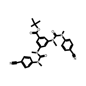 CN(C(=O)N(C)c1cc(C(=O)OC(C)(C)C)cc(N(C)C(=O)N(C)c2ccc(C#N)cc2)c1)c1ccc(C#N)cc1